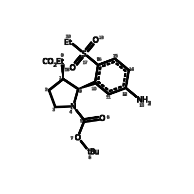 CCOC(=O)[C@@H]1CCN(C(=O)OC(C)(C)C)[C@@H]1c1cc(N)ccc1S(=O)(=O)CC